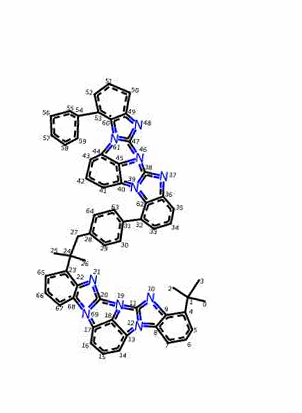 CC(C)(C)c1cccc2c1nc1n2c2cccc3c2n1c1nc2c(C(C)(C)Cc4ccc(-c5cccc6nc7n(c8cccc9c8n7c7nc8cccc(-c%10ccccc%10)c8n97)c56)cc4)cccc2n31